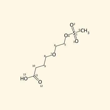 CS(=O)(=O)OCCOCCCC(=O)O